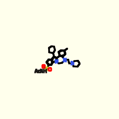 CC(=O)NS(=O)(=O)c1ccc2c(C3CCCCC3)c3n(c2c1)CCN(CCN1CCCCC1)c1cc(C)ccc1-3